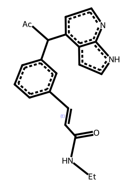 CCNC(=O)/C=C/c1cccc(C(C(C)=O)c2ccnc3[nH]ccc23)c1